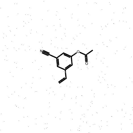 C=Cc1cc(C#N)cc(OC(C)=O)c1